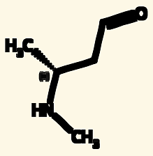 CN[C@H](C)CC=O